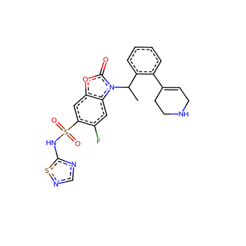 CC(c1ccccc1C1=CCNCC1)n1c(=O)oc2cc(S(=O)(=O)Nc3ncns3)c(F)cc21